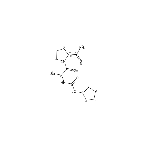 CC(C)(C)C(NC(=O)OC1CCCC1)C(=O)N1CCC[C@H]1C(N)=O